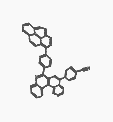 N#Cc1ccc(-c2cc3c(-c4ccc(-c5ccc6ccc7cccc8ccc5c6c78)cc4)nc4ccccc4c3c3ccccc23)cc1